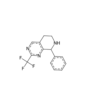 FC(F)(F)c1ncc2c(n1)C(c1ccccc1)NCC2